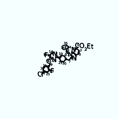 CCOC(=O)c1ccc2nc(CC3CC=C(c4ncc(F)c(OCc5ccc(Cl)cc5F)n4)CC3)n(CC3CCO3)c2n1